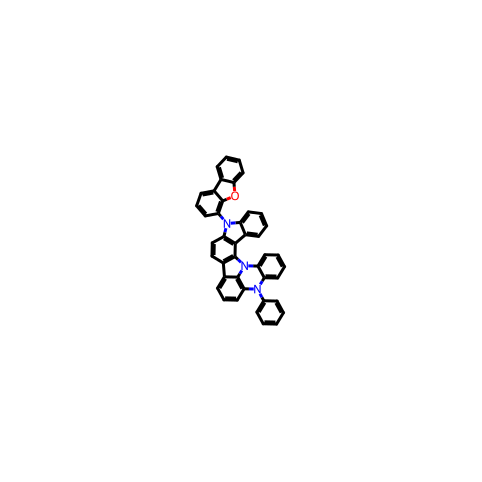 c1ccc(N2c3ccccc3-n3c4c2cccc4c2ccc4c(c5ccccc5n4-c4cccc5c4oc4ccccc45)c23)cc1